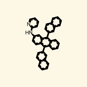 c1ccc(Nc2ccc3c(-c4ccc5ccccc5c4)c4ccccc4c(-c4ccc5ccccc5c4)c3c2)nc1